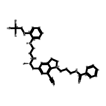 C[C@@H](Cc1cc(C#N)c2c(c1)CCN2CCCOC(=O)c1ccccc1)NCCOc1ccccc1OCC(F)(F)F